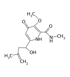 C=C(C)CC(O)c1cc(=O)c(OC)c(C(=O)NC)[nH]1